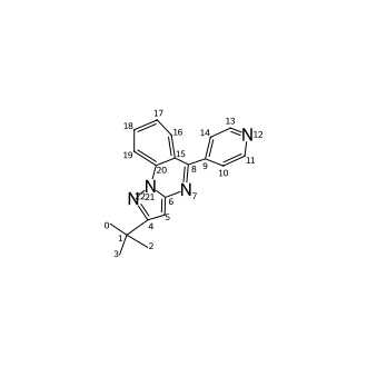 CC(C)(C)c1cc2nc(-c3ccncc3)c3ccccc3n2n1